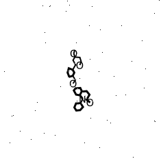 COC1CCOC(c2cccc(COc3ccc4c(ccc(=O)n4-c4ccccc4)c3)c2)C1